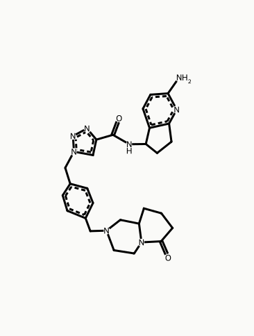 Nc1ccc2c(n1)CCC2NC(=O)c1cn(Cc2ccc(CN3CCN4C(=O)CCCC4C3)cc2)nn1